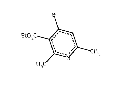 CCOC(=O)c1c(Br)cc(C)nc1C